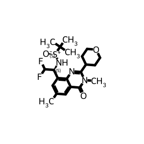 Cc1cc([C@H](N[S@+]([O-])C(C)(C)C)C(F)F)c2nc(C3CCOCC3)n(C)c(=O)c2c1